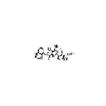 COc1c(Cl)ccc(-c2nc(N)c(Cl)c(C(=O)OCc3cccc4nccnc34)n2)c1F